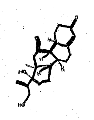 C=C1C[C@@]2(C)[C@@H](CC[C@@]2(O)C(=C)CO)[C@@H]2CCC3=CC(=O)CC[C@@H]3[C@@H]12